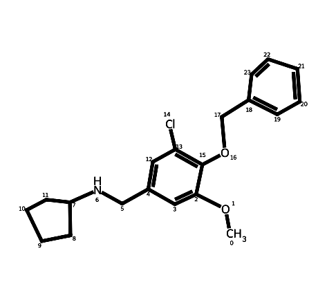 COc1cc(CNC2CCCC2)cc(Cl)c1OCc1ccccc1